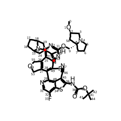 CO[C@H]1CN2CCC[C@@]2(COc2nc(N3C4CCC3CN(C(=O)O)C4)c3c4c(c(-c5ncc(F)c6sc(NC(=O)OC(C)(C)C)c(C#N)c56)c(F)c3n2)COC4)C1